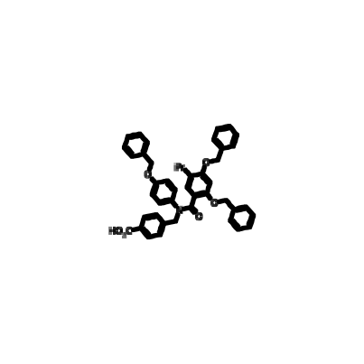 CC(C)c1cc(C(=O)N(Cc2ccc(C(=O)O)cc2)c2ccc(OCc3ccccc3)cc2)c(OCc2ccccc2)cc1OCc1ccccc1